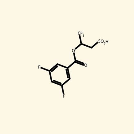 O=C(OC(CS(=O)(=O)O)C(F)(F)F)c1cc(F)cc(F)c1